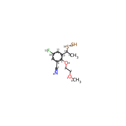 COCCOc1c(C#N)cc(F)cc1C(C)SS